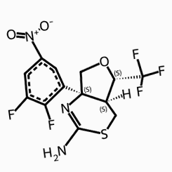 NC1=N[C@@]2(c3cc([N+](=O)[O-])cc(F)c3F)CO[C@H](C(F)(F)F)[C@H]2CS1